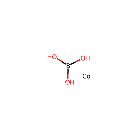 OB(O)O.[Co]